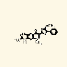 CCc1sc(NC(=O)c2cc(Cl)c(NC(C)=O)cc2OC)nc1-c1ccccc1